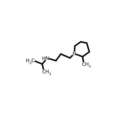 CC(C)NCCCN1CCCCC1C